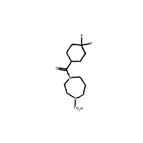 O=C(O)N1CCCN(C(=O)C2CCC(F)(F)CC2)CC1